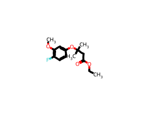 CCOC(=O)CC(C)(C)Oc1ccc(F)c(OC)c1